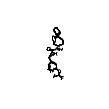 O=C(NCc1ccnc(OC(F)F)c1)N[C@H]1CCC2(CCC2)OC1